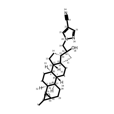 CC1C2[C@H]3CC[C@@H]4[C@H](CC[C@@]5(C)[C@H]4CC[C@@H]5[C@](C)(O)Cn4cc(C#N)cn4)[C@H]3CC[C@]12O